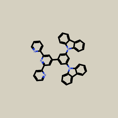 c1ccc(-c2cc(-c3cc(-n4c5ccccc5c5ccccc54)cc(-n4c5ccccc5c5ccccc54)c3)cc(-c3ccccn3)n2)nc1